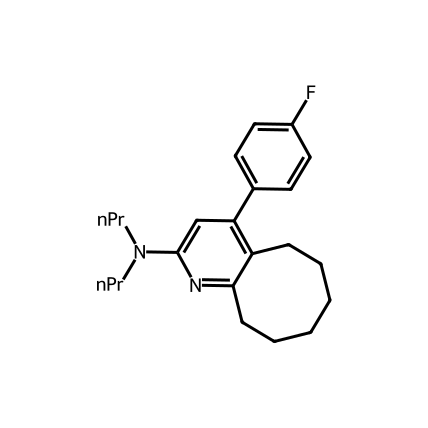 CCCN(CCC)c1cc(-c2ccc(F)cc2)c2c(n1)CCCCCC2